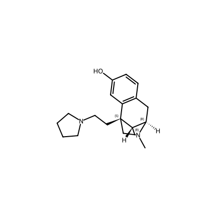 C[C@H]1[C@H]2Cc3ccc(O)cc3[C@@]1(CCN1CCCC1)CN2C